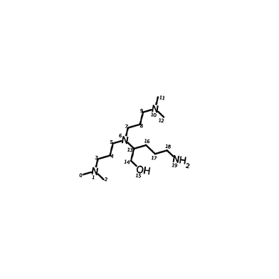 CN(C)CCCN(CCCN(C)C)C(CO)CCCN